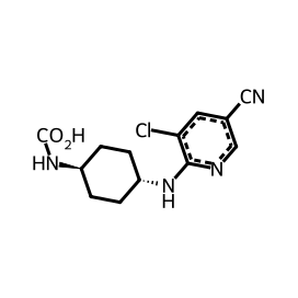 N#Cc1cnc(N[C@H]2CC[C@H](NC(=O)O)CC2)c(Cl)c1